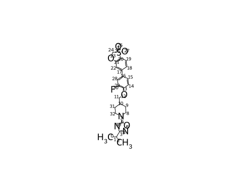 CC(C)c1noc(N2CCC(COc3ccc(-c4ccc5c(c4)OCS5(=O)=O)cc3F)CC2)n1